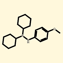 COc1ccc(BN(C2CCCCC2)C2CCCCC2)cc1